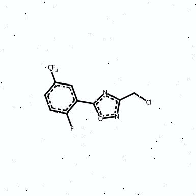 Fc1ccc(C(F)(F)F)cc1-c1nc(CCl)no1